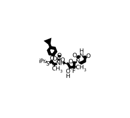 CC(C)SC(=O)[C@H](C)NP(=O)(OC[C@H]1O[C@@H](n2ccc(=O)[nH]c2=O)[C@](C)(F)[C@@H]1O)Oc1ccc(C2CC2)cc1